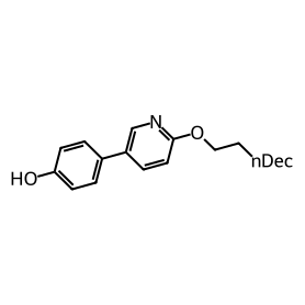 CCCCCCCCCCCCOc1ccc(-c2ccc(O)cc2)cn1